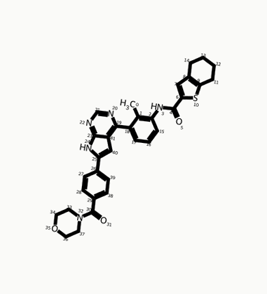 Cc1c(NC(=O)c2cc3c(s2)CCCC3)cccc1-c1ncnc2[nH]c(-c3ccc(C(=O)N4CCOCC4)cc3)cc12